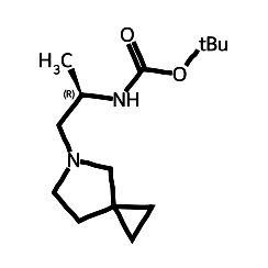 C[C@H](CN1CCC2(CC2)C1)NC(=O)OC(C)(C)C